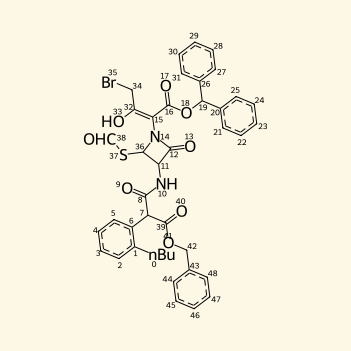 CCCCc1ccccc1C(C(=O)NC1C(=O)N(C(C(=O)OC(c2ccccc2)c2ccccc2)=C(O)CBr)C1SC=O)C(=O)OCc1ccccc1